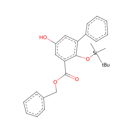 CC(C)(C)[Si](C)(C)Oc1c(C(=O)OCc2ccccc2)cc(O)cc1-c1ccccc1